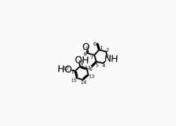 C=C1CNCC(=C)C1C=O.Oc1ccccc1O